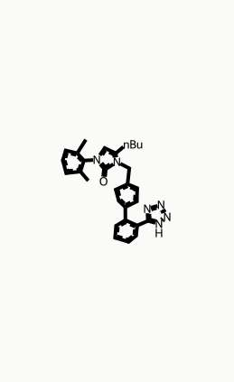 CCCCc1cn(-c2c(C)cccc2C)c(=O)n1Cc1ccc(-c2ccccc2-c2nnn[nH]2)cc1